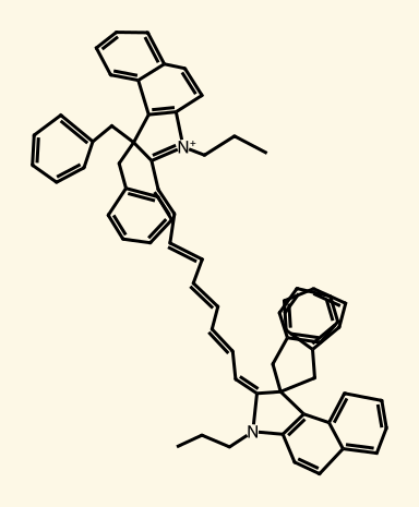 CCCN1/C(=C/C=C/C=C/C=C/C=C/C2=[N+](CCC)c3ccc4ccccc4c3C2(Cc2ccccc2)Cc2ccccc2)C(Cc2ccccc2)(Cc2ccccc2)c2c1ccc1ccccc21